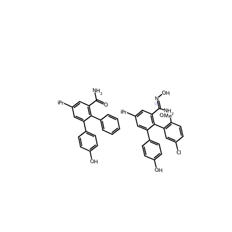 CC(C)c1cc(C(N)=O)c(-c2ccccc2)c(-c2ccc(O)cc2)c1.COc1ccc(Cl)cc1-c1c(/C(N)=N/O)cc(C(C)C)cc1-c1ccc(O)cc1